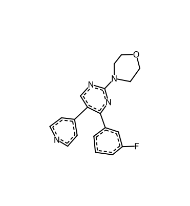 Fc1cccc(-c2nc(N3CCOCC3)ncc2-c2ccncc2)c1